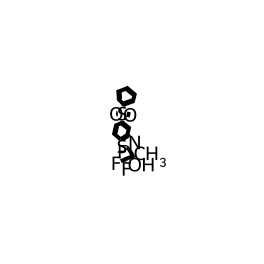 CC(O)(c1nc2cc(S(=O)(=O)c3ccccc3)ccc2s1)C(F)(F)F